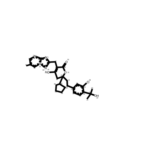 Cc1cnc2nc(CC3=C(O)CC(CCc4ccc(C(C)(C)O)c(Cl)c4)(C4CCCC4)OC3=O)nn2c1